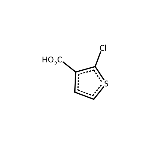 O=C(O)c1ccsc1Cl